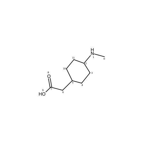 CNC1CCC(CC(=O)O)CC1